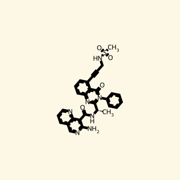 C[C@H](NC(=O)c1c(N)ncc2cccnc12)c1nc2cccc(C#CCNS(C)(=O)=O)c2c(=O)n1-c1ccccc1